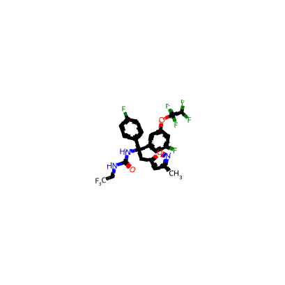 Cc1cc(CC(NC(=O)NCC(F)(F)F)(c2ccc(F)cc2)c2cc(F)cc(OC(F)(F)C(F)F)c2)on1